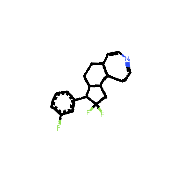 Fc1cccc(C2C3CCC4C=CN=CCC4C3CC2(F)F)c1